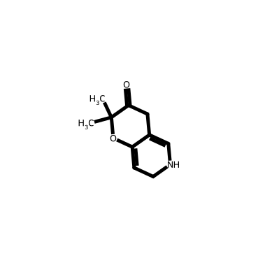 CC1(C)OC2=CCNC=C2CC1=O